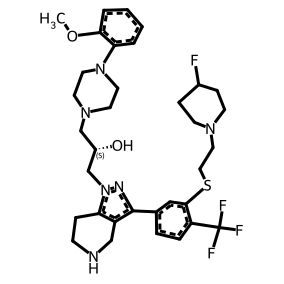 COc1ccccc1N1CCN(C[C@H](O)Cn2nc(-c3ccc(C(F)(F)F)c(SCCN4CCC(F)CC4)c3)c3c2CCNC3)CC1